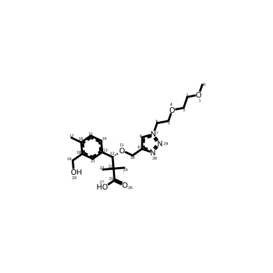 COCCOCCn1cc(CO[C@@H](c2ccc(C)c(CO)c2)C(C)(C)C(=O)O)nn1